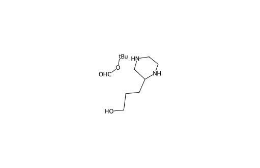 CC(C)(C)OC=O.OCCCC1CNCCN1